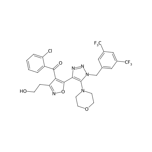 O=C(c1ccccc1Cl)c1c(CCO)noc1-c1nnn(Cc2cc(C(F)(F)F)cc(C(F)(F)F)c2)c1N1CCOCC1